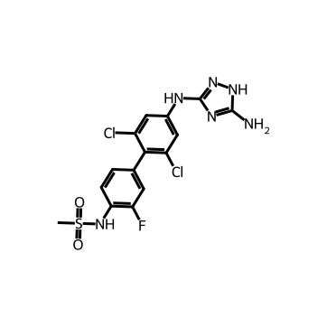 CS(=O)(=O)Nc1ccc(-c2c(Cl)cc(Nc3n[nH]c(N)n3)cc2Cl)cc1F